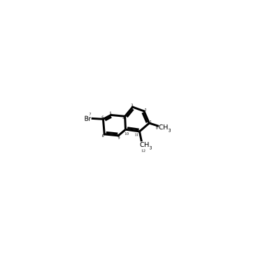 Cc1ccc2cc(Br)ccc2c1C